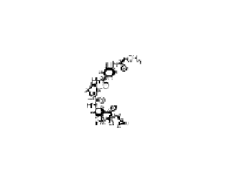 C=CC(=O)Nc1ccc(C(=O)N[C@@H]2CCCN(C(=O)Nc3ccc4c(c3)c(=O)n(CC3CC3)c(=O)n4C(C)C)C2)cc1